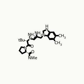 CNC(=O)[C@@H]1CCCN1C(=O)[C@@H](N(N)/C=C(\N)CN1CNc2cc(C)c(C)cc21)C(C)(C)C